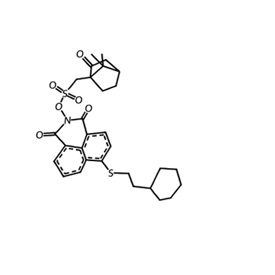 CC1(C)C2CCC1(CS(=O)(=O)ON1C(=O)c3cccc4c(SCCC5CCCCC5)ccc(c34)C1=O)C(=O)C2